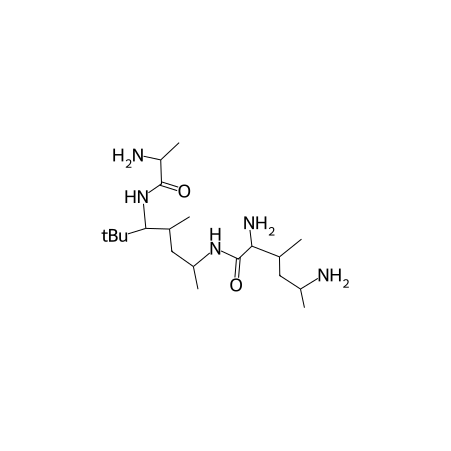 CC(N)CC(C)C(N)C(=O)NC(C)CC(C)C(NC(=O)C(C)N)C(C)(C)C